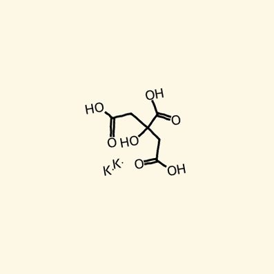 O=C(O)CC(O)(CC(=O)O)C(=O)O.[K].[K]